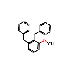 COc1cccc(Cc2ccccc2)c1Cc1ccccc1